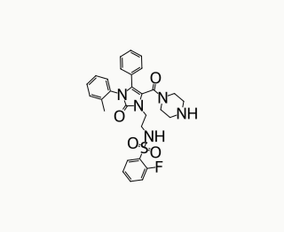 Cc1ccccc1-n1c(-c2ccccc2)c(C(=O)N2CCNCC2)n(CCNS(=O)(=O)c2ccccc2F)c1=O